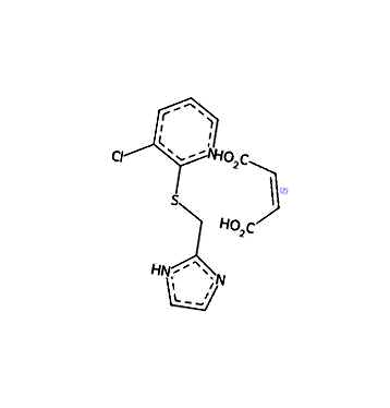 Clc1cccnc1SCc1ncc[nH]1.O=C(O)/C=C\C(=O)O